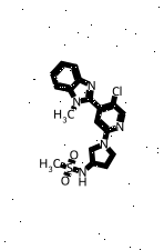 Cn1c(-c2cc(N3CCC(NS(C)(=O)=O)C3)ncc2Cl)nc2ccccc21